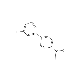 C[S+]([O-])c1ccc(-c2[c]ccc(F)c2)cc1